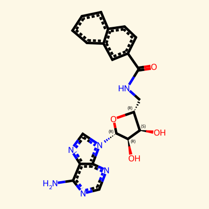 Nc1ncnc2c1ncn2[C@@H]1O[C@H](CNC(=O)c2ccc3ccccc3c2)[C@@H](O)[C@H]1O